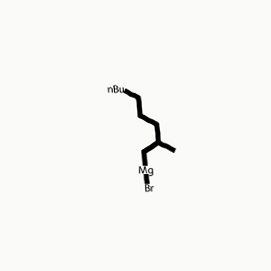 CCCCCCCC(C)[CH2][Mg][Br]